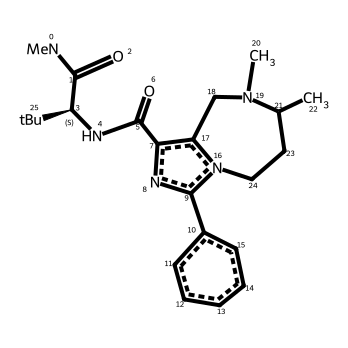 CNC(=O)[C@@H](NC(=O)c1nc(-c2ccccc2)n2c1CN(C)C(C)CC2)C(C)(C)C